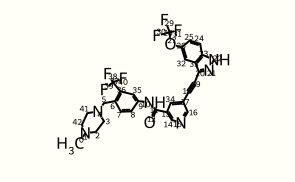 CN1CCN(Cc2ccc(NC(=O)c3cncc(C#Cc4n[nH]c5ccc(OC(F)(F)F)cc45)c3)cc2C(F)(F)F)CC1